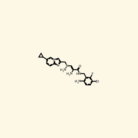 CCc1ccc(N)c(CNC(=O)/C(N)=C/N(N)Cc2cn3cc(C4CC4)ccc3n2)c1F